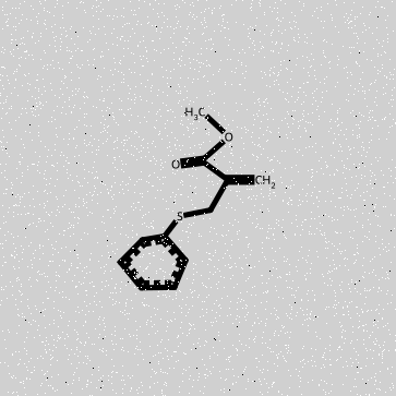 C=C(CSc1ccccc1)C(=O)OC